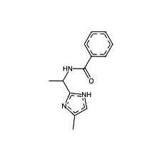 Cc1c[nH]c(C(C)NC(=O)c2ccccc2)n1